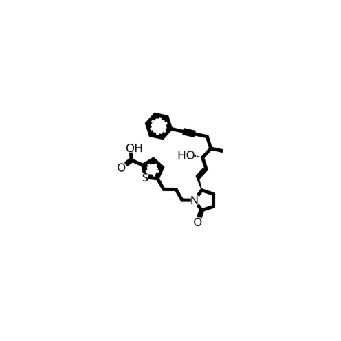 CC(CC#Cc1ccccc1)[C@@H](O)C=C[C@H]1CCC(=O)N1CCCc1ccc(C(=O)O)s1